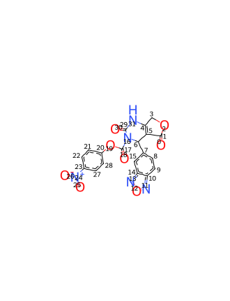 O=C1OCC2=C1C(c1ccc3nonc3c1)N(C(=O)Oc1ccc([N+](=O)[O-])cc1)C(=O)N2